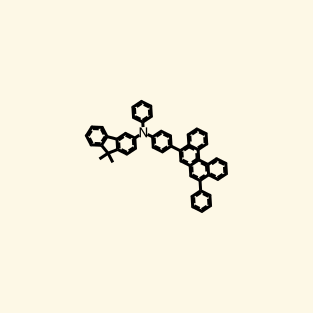 CC1(C)c2ccccc2-c2cc(N(c3ccccc3)c3ccc(-c4cc5cc(-c6ccccc6)c6ccccc6c5c5ccccc45)cc3)ccc21